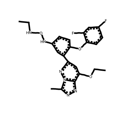 CCNONc1ccc(Oc2ccc(F)cc2F)c(-c2cc(OCC)c3nnc(C)n3n2)c1